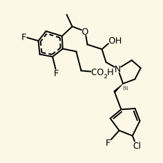 CC(OCC(O)CN1CCC[C@H]1CC1=CC(F)C(Cl)C=C1)c1cc(F)cc(F)c1CCC(=O)O